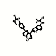 CN(C)C(=N)N(C)c1ccc(-c2ccc3[nH]cc(C4=Nc5ccc(N(C)C(=N)N(C)C)cc5C4)c3c2)cc1